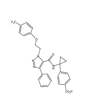 O=C(O)c1ccc(C2(NC(=O)c3c(-c4ccccc4)nnn3CCOc3ccc(C(F)(F)F)cc3)CC2)cc1